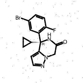 O=C1Cn2nccc2[C@](c2cc(Br)ccc2F)(C2CC2)N1